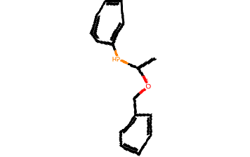 CC(OCc1ccccc1)Pc1ccccc1